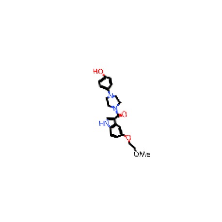 COCCOc1ccc2[nH]cc(C(=O)N3CCN(c4ccc(O)cc4)CC3)c2c1